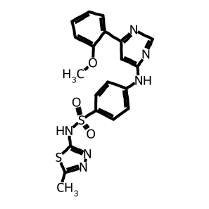 COc1ccccc1-c1cc(Nc2ccc(S(=O)(=O)Nc3nnc(C)s3)cc2)ncn1